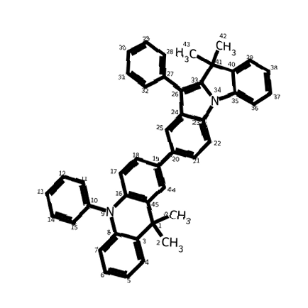 CC1(C)c2ccccc2N(c2ccccc2)c2ccc(-c3ccc4c(c3)c(-c3ccccc3)c3n4-c4ccccc4C3(C)C)cc21